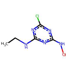 CCNc1nc(Cl)nc(NO)n1